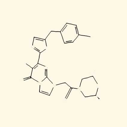 C[C@H]1CN(C(=O)Cn2ccn3c(=O)c(O)c(-c4ncc(Cc5ccc(F)cc5)s4)nc23)C[C@H](C)O1